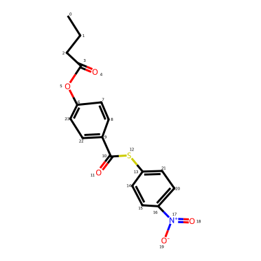 CCCC(=O)Oc1ccc(C(=O)Sc2ccc([N+](=O)[O-])cc2)cc1